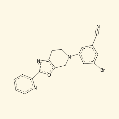 N#Cc1cc(Br)cc(N2CCc3nc(-c4ccccn4)oc3C2)c1